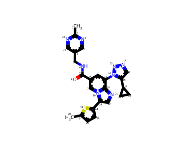 Cc1ncc(CNC(=O)c2cc(-n3nncc3C3CC3)c3ncc(-c4ccc(C)s4)n3c2)cn1